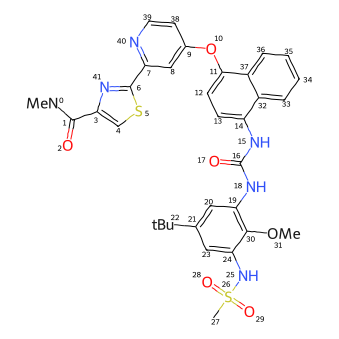 CNC(=O)c1csc(-c2cc(Oc3ccc(NC(=O)Nc4cc(C(C)(C)C)cc(NS(C)(=O)=O)c4OC)c4ccccc34)ccn2)n1